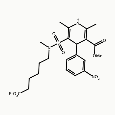 CCOC(=O)CCCCCN(C)S(=O)(=O)C1=C(C)NC(C)=C(C(=O)OC)C1c1cccc([N+](=O)[O-])c1